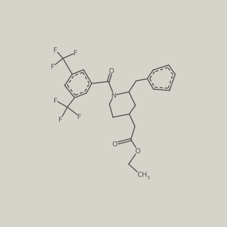 CCOC(=O)CC1CCN(C(=O)c2cc(C(F)(F)F)cc(C(F)(F)F)c2)C(Cc2ccccc2)C1